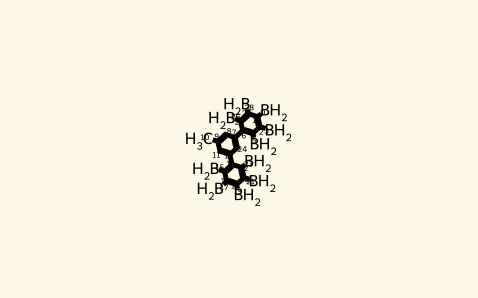 Bc1c(B)c(B)c(-c2cc(C)cc(-c3c(B)c(B)c(B)c(B)c3B)c2)c(B)c1B